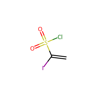 C=C(I)S(=O)(=O)Cl